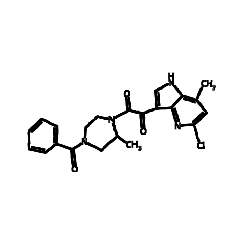 Cc1cc(Cl)nc2c(C(=O)C(=O)N3CCN(C(=O)c4ccccc4)CC3C)c[nH]c12